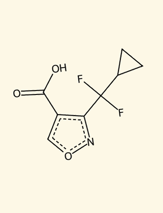 O=C(O)c1conc1C(F)(F)C1CC1